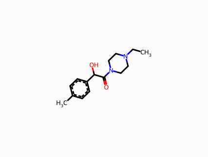 CCN1CCN(C(=O)C(O)c2ccc(C)cc2)CC1